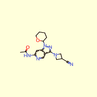 CC(=O)Nc1cc2c(cn1)c(N1CC(C#N)C1)nn2C1CCCCO1